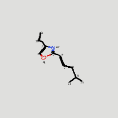 [CH2]Cc1coc(/C=C/CC(C)C)n1